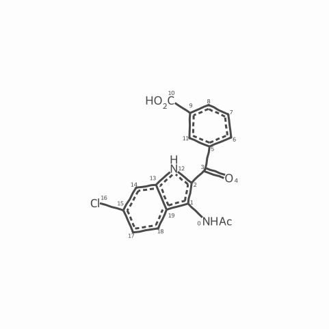 CC(=O)Nc1c(C(=O)c2cccc(C(=O)O)c2)[nH]c2cc(Cl)ccc12